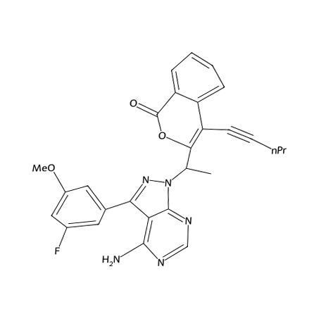 CCCC#Cc1c(C(C)n2nc(-c3cc(F)cc(OC)c3)c3c(N)ncnc32)oc(=O)c2ccccc12